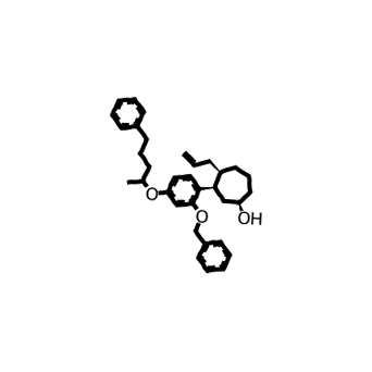 C=CC[C@H]1CCC[C@@H](O)C[C@H]1c1ccc(OC(C)CCCc2ccccc2)cc1OCc1ccccc1